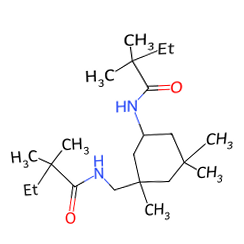 CCC(C)(C)C(=O)NCC1(C)CC(NC(=O)C(C)(C)CC)CC(C)(C)C1